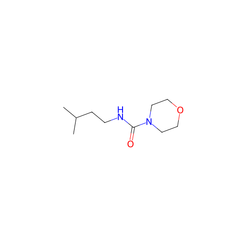 CC(C)CCNC(=O)N1CCOCC1